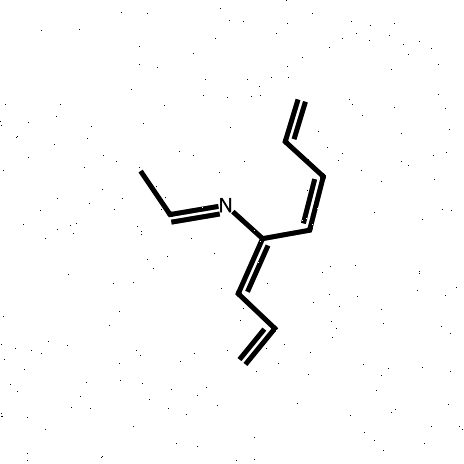 C=C\C=C/C(=C\C=C)/N=C/C